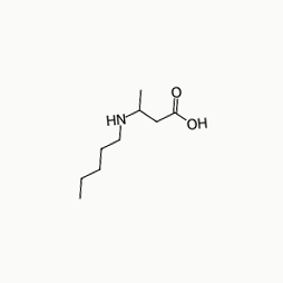 CCCCCNC(C)CC(=O)O